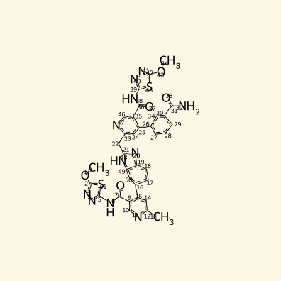 COc1nnc(NC(=O)c2cnc(C)cc2-c2ccc3nc(Cc4cc(-c5cccc(C(N)=O)c5)c(C(=O)Nc5nnc(OC)s5)cn4)[nH]c3c2)s1